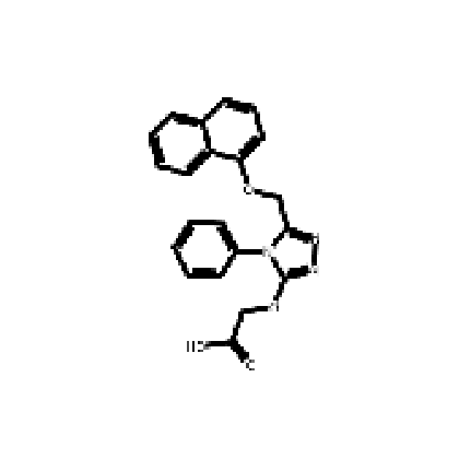 O=C(O)COc1nnc(COc2cccc3ccccc23)n1-c1ccccc1